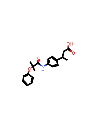 CC(CC(=O)O)c1ccc(NC(=O)C(C)(C)Oc2ccccc2)cc1